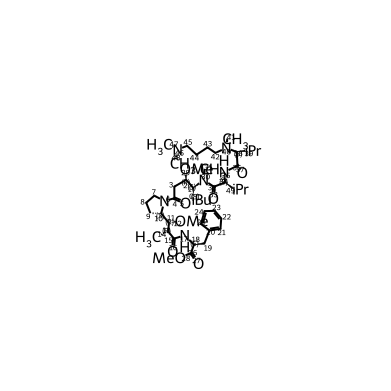 CC[C@H](C)[C@@H]([C@@H](CC(=O)N1CCC[C@H]1[C@H](OC)[C@@H](C)C(=O)N[C@@H](Cc1ccccc1)C(=O)OC)OC)N(C)C(=O)[C@@H](NC(=O)[C@H](C(C)C)N(C)CCCCN(C)C)C(C)C